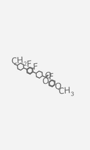 C=CC1CCC(c2ccc(C3CCC(C(=O)Oc4ccc(OCC)cc4F)CC3)c(F)c2F)CC1